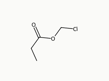 CCC(=O)OCCl